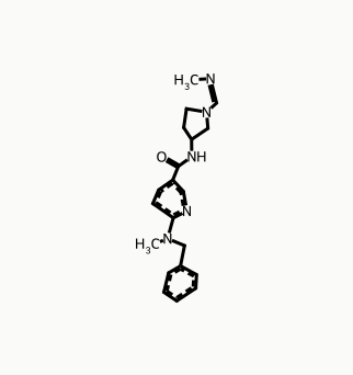 C/N=C\N1CCC(NC(=O)c2ccc(N(C)Cc3ccccc3)nc2)C1